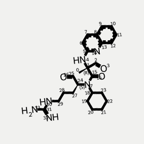 C[C@](C=O)(Nc1ccc2ccccc2n1)C(=O)N(C1CCCCC1)[C@H](C=O)CCCNC(=N)N